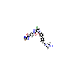 C[C@@H]1CN(CCCc2ccc(-c3cccc(Oc4ncc(F)cc4C(=O)N[C@H]4CC[C@@H](NC(=O)c5cscn5)CC4)c3)cc2)C[C@H](C)N1